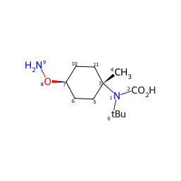 CC(C)(C)N(C(=O)O)[C@]1(C)CC[C@@H](ON)CC1